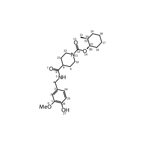 COc1cc(CNC(=O)C2CCN(C(=O)O[C@@H]3CCCC[C@@H]3C)CC2)ccc1O